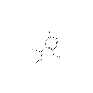 [CH2]C(C=C)c1cc(C)ccc1CCC